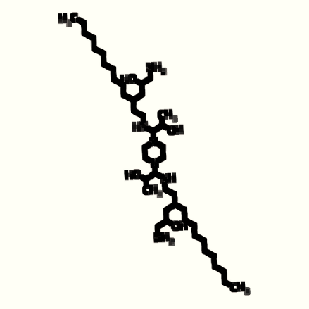 CCCCCCCCCCCC(CCNC(C(C)O)N1CCN(C(NCCC(CCCCCCCCCCC)CC(O)CN)C(C)O)CC1)CC(O)CN